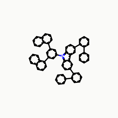 c1ccc(-c2ccccc2-c2ccc3c(c2)c2cc(-c4ccccc4-c4ccccc4)ccc2n3-c2cc(-c3cccc4ccccc34)cc(-c3cccc4ccccc34)c2)cc1